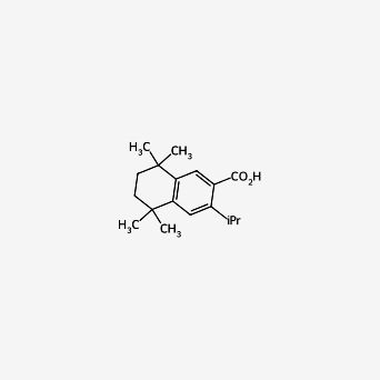 CC(C)c1cc2c(cc1C(=O)O)C(C)(C)CCC2(C)C